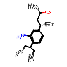 CC[C@@H](CC(=O)OC)c1ccc(C(CC(C)C)CC(C)C)c(N)c1